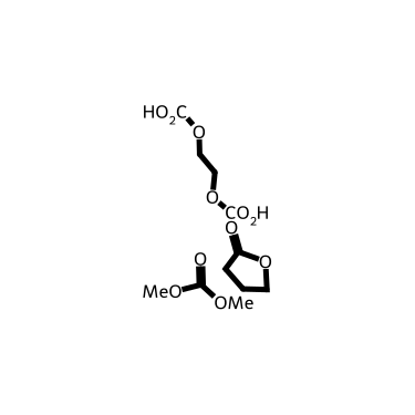 COC(=O)OC.O=C(O)OCCOC(=O)O.O=C1CCCO1